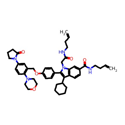 C=CCCNC(=O)Cn1c(-c2ccc(OCc3cc(N4CCCC4=O)ccc3N3CCOCC3)cc2)c(C2CCCCC2)c2ccc(C(=O)NCCC=C)cc21